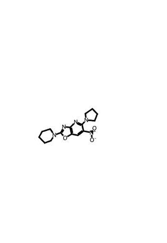 O=[N+]([O-])c1cc2oc(N3CCCCC3)nc2nc1N1CCCC1